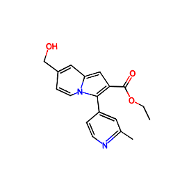 CCOC(=O)c1cc2cc(CO)ccn2c1-c1ccnc(C)c1